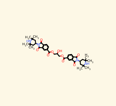 CC1(C)CC(N2C(=O)c3ccc(C(=O)OCC(O)COC(=O)c4ccc5c(c4)C(=O)N(C4CC(C)(C)NC(C)(C)C4)C5=O)cc3C2=O)CC(C)(C)N1